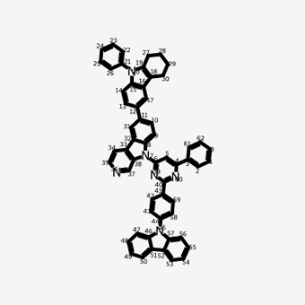 c1ccc(-c2cc(-n3c4ccc(-c5ccc6c(c5)c5c(n6-c6ccccc6)CCCC5)cc4c4ccncc43)nc(-c3ccc(-n4c5ccccc5c5ccccc54)cc3)n2)cc1